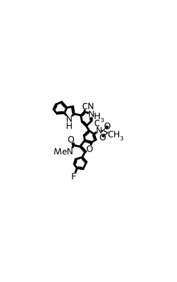 CNC(=O)c1c(-c2ccc(F)cc2)oc2cc(N(C)S(C)(=O)=O)c(-c3cnc(C#N)c(-c4cc5ccccc5[nH]4)c3)cc12